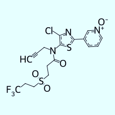 C#CCN(C(=O)CCS(=O)(=O)CCC(F)(F)F)c1sc(-c2ccc[n+]([O-])c2)nc1Cl